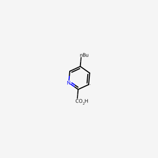 CCCCc1c[c]c(C(=O)O)nc1